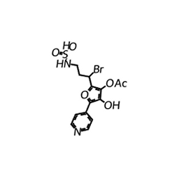 CC(=O)Oc1c(C(Br)CCN[SH](=O)=O)oc(-c2ccncc2)c1O